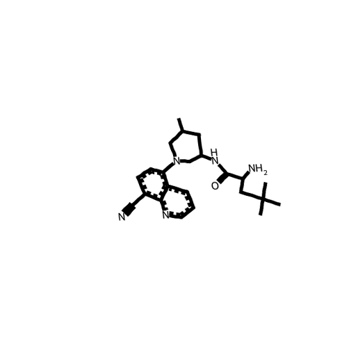 CC1CC(NC(=O)C(N)CC(C)(C)C)CN(c2ccc(C#N)c3ncccc23)C1